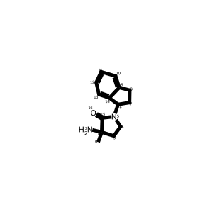 CC1(N)CCN(C2CCc3ccccc32)C1=O